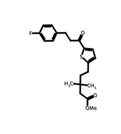 COC(=O)CC(C)(C)CCc1ccc(C(=O)CCc2ccc(F)cc2)s1